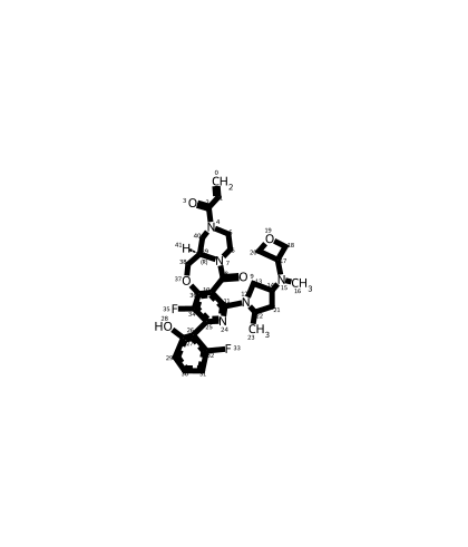 C=CC(=O)N1CCN2C(=O)c3c(N4CC(N(C)C5COC5)CC4C)nc(-c4c(O)cccc4F)c(F)c3OC[C@H]2C1